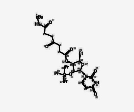 CCCCNC(=O)CCC(=O)CCC(=O)O[C@@H]1C(O[Si](C(C)C)(C(C)C)C(C)C)[C@H](n2ccc(=O)[nH]c2=O)O[C@@H]1CC